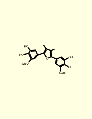 COc1cc(-c2oc(-c3cc(O)c(O)c(OC)c3)c(C)c2C)cc(O)c1O